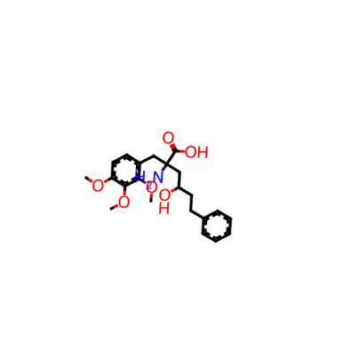 COc1ccc(CC(N)(CC(O)CCc2ccccc2)C(=O)O)c(OC)c1OC